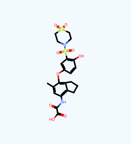 Cc1cc(NC(=O)C(=O)O)c2c(c1Oc1ccc(O)c(S(=O)(=O)N3CCS(=O)(=O)CC3)c1)CCC2